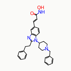 O=C(C=Cc1ccc2c(c1)nc(CCc1ccccc1)n2C1CCN(Cc2ccccc2)CC1)NO